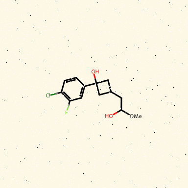 COC(O)CC1CC(O)(c2ccc(Cl)c(F)c2)C1